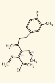 C=N/C(C(=C)CC)=C(/C=C\C)C(=C)CCc1ccc(F)c(C)c1